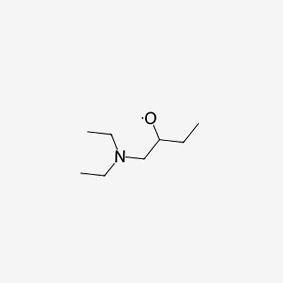 CCC([O])CN(CC)CC